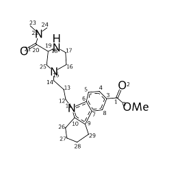 COC(=O)c1ccc2c(c1)c1c(n2CCCN2CCNC(C(=O)N(C)C)C2)CCCC1